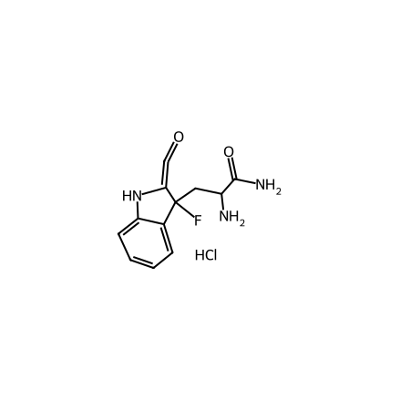 Cl.NC(=O)C(N)CC1(F)C(=C=O)Nc2ccccc21